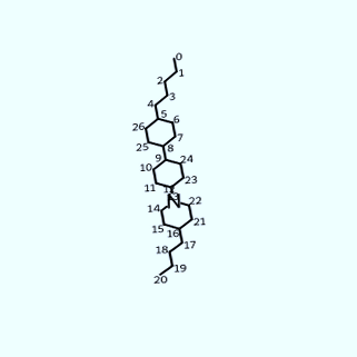 CCCCCC1CCC(C2CCC(N3CCC(CCCC)CC3)CC2)CC1